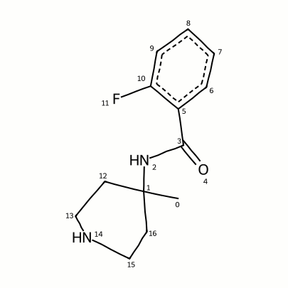 CC1(NC(=O)c2ccccc2F)CCNCC1